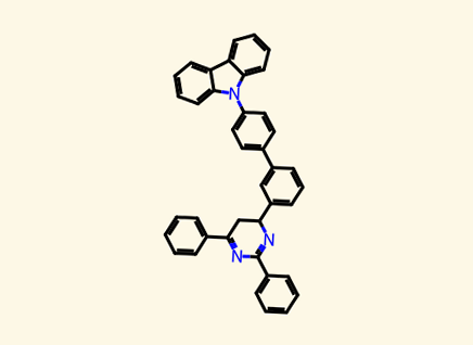 c1ccc(C2=NC(c3ccccc3)=NC(c3cccc(-c4ccc(-n5c6ccccc6c6ccccc65)cc4)c3)C2)cc1